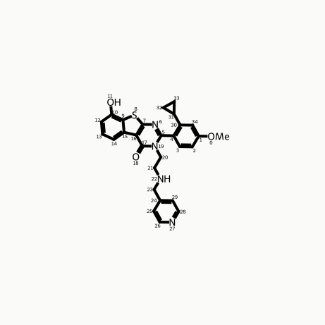 COc1ccc(-c2nc3sc4c(O)cccc4c3c(=O)n2CCNCc2ccncc2)c(C2CC2)c1